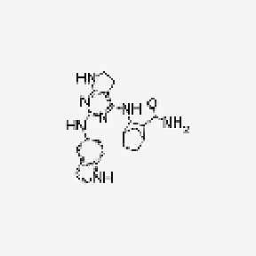 NC(=O)C1C2CCC(C2)C1Nc1nc(Nc2ccc3[nH]ccc3c2)nc2c1CCN2